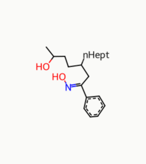 CCCCCCCC(CCC(C)O)CC(=NO)c1ccccc1